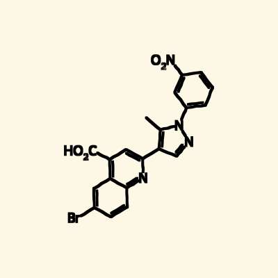 Cc1c(-c2cc(C(=O)O)c3cc(Br)ccc3n2)cnn1-c1cccc([N+](=O)[O-])c1